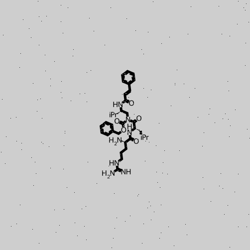 CC(C)C[C@H](NC(=O)[C@@H](N)CCCNC(=N)N)C(=O)N(C[C@@H](NC(=O)/C=C/c1ccccc1)C(C)C)C(=O)OCc1ccccc1